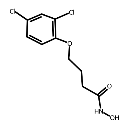 O=C(CCCOc1ccc(Cl)cc1Cl)NO